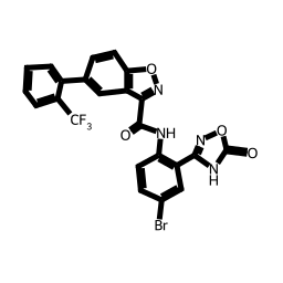 O=C(Nc1ccc(Br)cc1-c1noc(=O)[nH]1)c1noc2ccc(-c3ccccc3C(F)(F)F)cc12